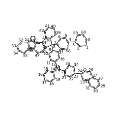 c1ccc(-c2ccc(C3(c4ccc(N(c5ccccc5)c5ccc(-c6ccc7ccccc7c6)cc5)cc4)c4ccccc4-c4c3ccc3c4oc4ccccc43)cc2)cc1